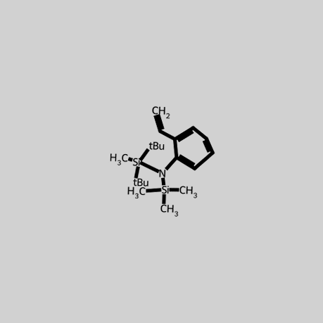 C=Cc1ccccc1N([Si](C)(C)C)[Si](C)(C(C)(C)C)C(C)(C)C